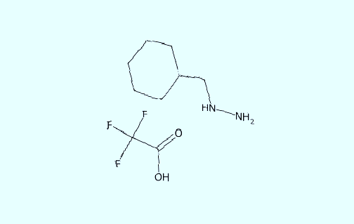 NNCC1CCCCC1.O=C(O)C(F)(F)F